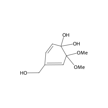 COC1(OC)C=C(CO)C=CC1(O)O